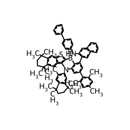 Cc1cc(C)c(-c2cc(-c3cc4ccccc4cc3Nc3ccc(-c4ccccc4)cc3)c3c(c2)N(c2cc4c(cc2C)C(C)(C)CCC4(C)C)c2c(sc4cc5c(cc24)C(C)(C)CCC5(C)C)B3)c(C)c1